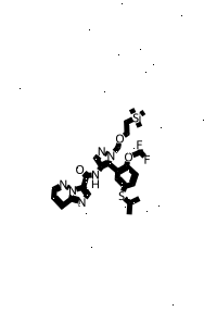 CC(C)Sc1ccc(OC(F)F)c(-c2c(NC(=O)c3cnc4cccnn34)cnn2COCC[Si](C)(C)C)c1